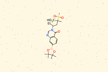 CCC(CC(C)(C(=O)O)S(C)(=O)=O)n1cnc2cc(B3OC(C)(C)C(C)(C)O3)ccc2c1=O